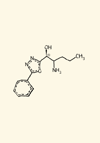 CCCC(N)[C@H](O)c1nnc(-c2ccccc2)o1